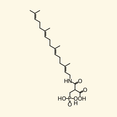 CC(C)=CCC/C(C)=C/CC/C(C)=C/CC/C(C)=C/CNC(=O)C(CP(=O)(O)O)C(=O)O